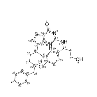 O=c1nc(NC(CCO)c2ccc(Cl)cc2)[nH]n2c(C3CCN(Cc4ccccc4)CC3)ncc12